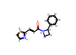 O=C(/C=C/c1nccs1)N1CCC1c1ccccc1